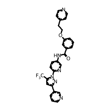 O=C(Nc1ccc(-n2nc(-c3cccnc3)cc2C(F)(F)F)nc1)c1cccc(OCCc2ccncc2)c1